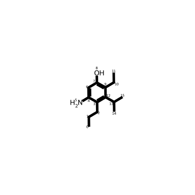 CCCc1c(N)cc(O)c(CC)c1C(C)C